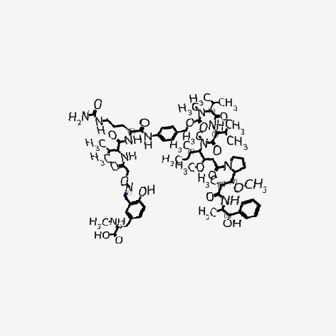 CC[C@H](C)C(C(CC(=O)N1CCCC1[C@H](OC)[C@@H](C)C(=O)NC(C)[C@@H](O)c1ccccc1)OC)N(C)C(=O)[C@@H](NC(=O)[C@H](C(C)C)N(C)C(=O)OCc1ccc(NC(=O)[C@H](CCCNC(N)=O)NC(=O)C(NC(=O)CO/N=C/c2cc(C[C@H](NC)C(=O)O)ccc2O)C(C)C)cc1)C(C)C